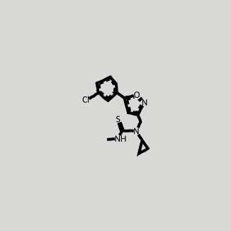 CNC(=S)N(Cc1cc(-c2cccc(Cl)c2)on1)C1CC1